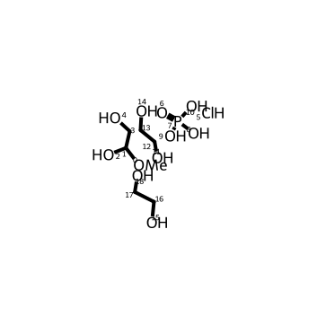 COC(O)CO.Cl.O=P(O)(O)O.OCCO.OCCO